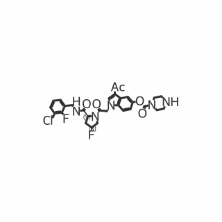 CC(=O)c1cn(CC(=O)N2C[C@H](F)C[C@H]2C(=O)NCc2cccc(Cl)c2F)c2ccc(OC(=O)N3CCNCC3)cc12